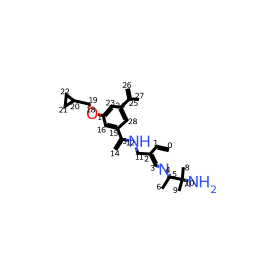 C=C/C(=C\N=C(/C)C(C)(C)N)CNC(=C)c1cc(OCC2CC2)cc(C(=C)C)c1